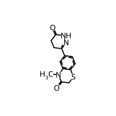 CN1C(=O)CSc2ccc(C3=NNC(=O)CC3)cc21